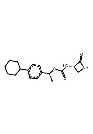 C[C@H](OC(=O)N[C@H]1CNC1=O)c1ccc(C2CCCCC2)cc1